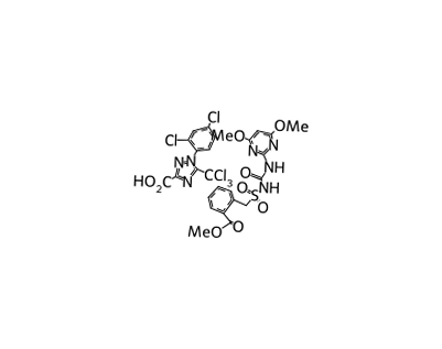 COC(=O)c1ccccc1CS(=O)(=O)NC(=O)Nc1nc(OC)cc(OC)n1.O=C(O)c1nc(C(Cl)(Cl)Cl)n(-c2ccc(Cl)cc2Cl)n1